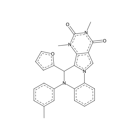 Cc1cccc(N2c3ccccc3-n3cc4c(=O)n(C)c(=O)n(C)c4c3C2c2ccco2)c1